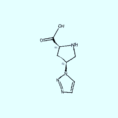 O=C(O)[C@@H]1C[C@H](n2ccnn2)CN1